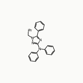 CC(C)Cn1nc(N(c2ccccc2)c2ccccc2)nc1-c1ccccc1